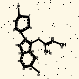 N/C(Cc1c(-c2ccc(F)cc2)nc2ccc(F)cn12)=N\O